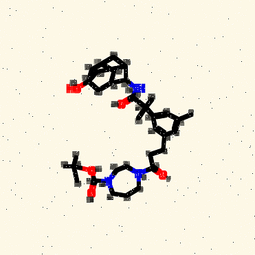 Cc1cc(CCC(=O)N2CCCN(C(=O)OC(C)(C)C)CC2)cc(C(C)(C)C(=O)NC2C3CC4CC2CC(O)(C4)C3)c1